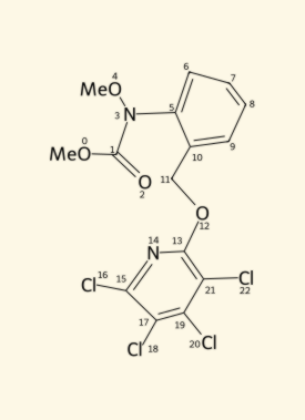 COC(=O)N(OC)c1ccccc1COc1nc(Cl)c(Cl)c(Cl)c1Cl